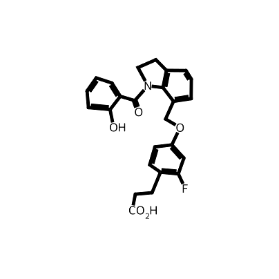 O=C(O)CCc1ccc(OCc2cccc3c2N(C(=O)c2ccccc2O)CC3)cc1F